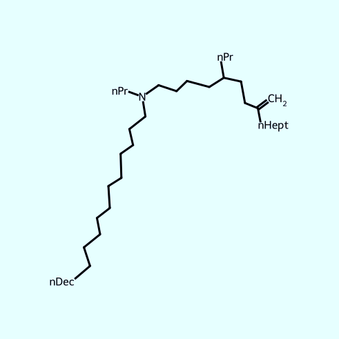 C=C(CCCCCCC)CCC(CCC)CCCCN(CCC)CCCCCCCCCCCCCCCCCCCCC